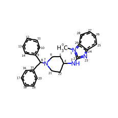 Cn1c(NC2CCN(C(c3ccccc3)c3ccccc3)CC2)nc2ccccc21